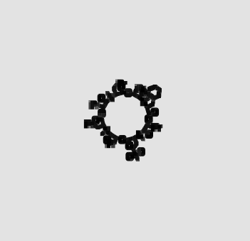 CC(C)CC1C(=O)OC(C(C)C)C(=O)N(C)C(Cc2ccccc2)C(=O)OC(C(C)C)C(=O)N(C)C(CCS(C)(=O)=O)C(=O)OC(C(C)C)C(=O)N(C)C(CC(C)C)C(=O)OC(C(C)C)C(=O)N1C